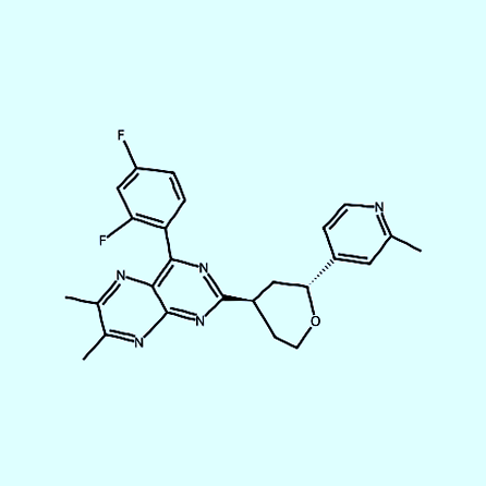 Cc1cc([C@H]2C[C@H](c3nc(-c4ccc(F)cc4F)c4nc(C)c(C)nc4n3)CCO2)ccn1